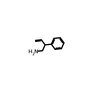 C=CC(CN)c1ccccc1